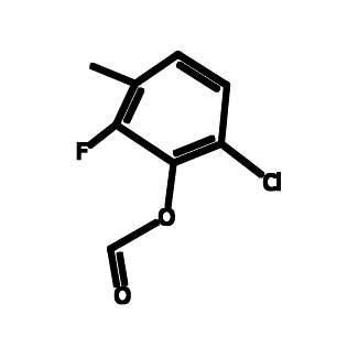 Cc1ccc(Cl)c(OC=O)c1F